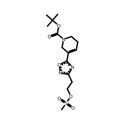 CC(C)(C)OC(=O)N1CCC=C(c2nc(CCOS(C)(=O)=O)no2)C1